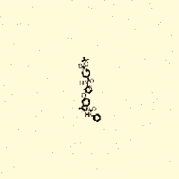 Cc1cn(C(=O)Nc2ccccc2)c2ccc(Oc3ccnc(NC(=O)C4CCN(C(=O)OC(C)(C)C)CC4)c3)cc12